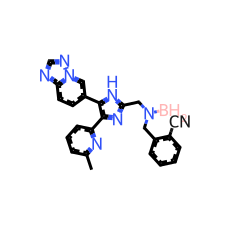 BN(Cc1nc(-c2cccc(C)n2)c(-c2ccc3ncnn3c2)[nH]1)Cc1ccccc1C#N